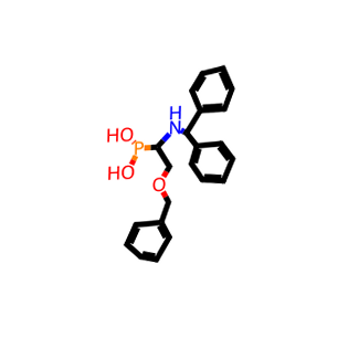 OP(O)C(COCc1ccccc1)NC(c1ccccc1)c1ccccc1